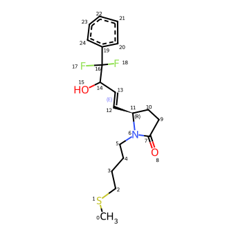 CSCCCCN1C(=O)CC[C@@H]1/C=C/C(O)C(F)(F)c1ccccc1